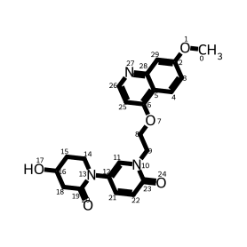 COc1ccc2c(OCCn3cc(N4CCC(O)CC4=O)ccc3=O)ccnc2c1